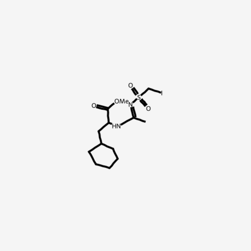 COC(=O)C(CC1CCCCC1)NC(C)=NS(=O)(=O)CI